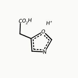 O=C(O)Cc1cnco1.[H+]